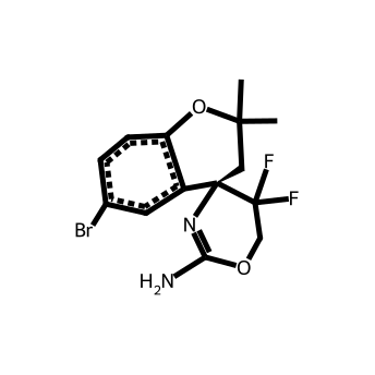 CC1(C)C[C@@]2(N=C(N)OCC2(F)F)c2cc(Br)ccc2O1